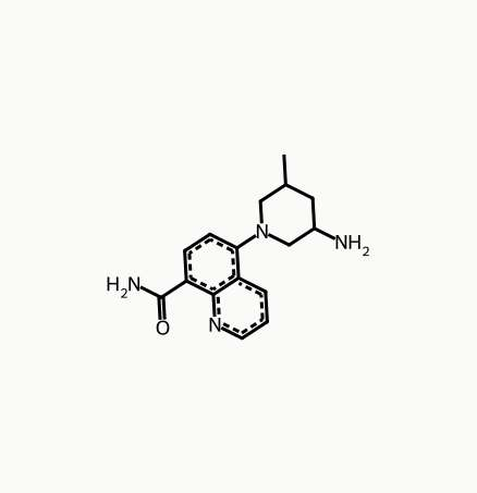 CC1CC(N)CN(c2ccc(C(N)=O)c3ncccc23)C1